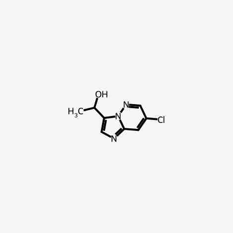 CC(O)c1cnc2cc(Cl)cnn12